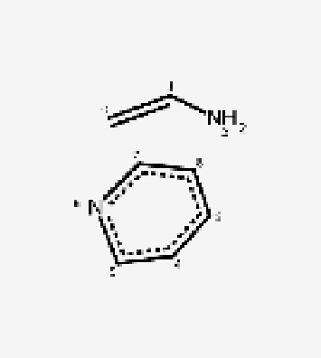 C=CN.c1ccncc1